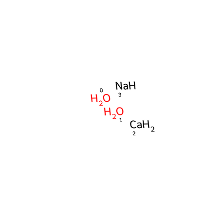 O.O.[CaH2].[NaH]